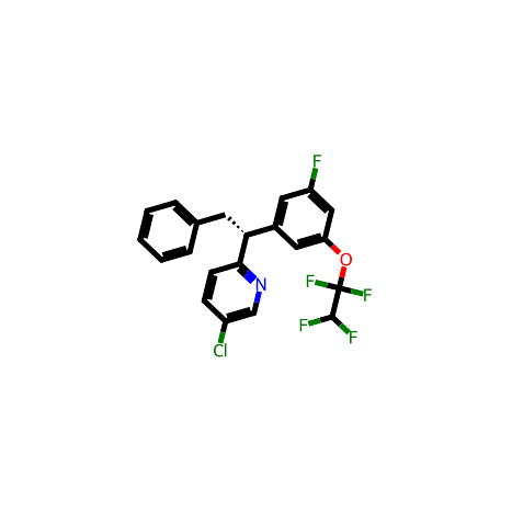 Fc1cc(OC(F)(F)C(F)F)cc([C@@H](Cc2ccccc2)c2ccc(Cl)cn2)c1